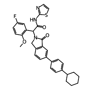 COc1ccc(F)cc1C(C(=O)Nc1nccs1)N1Cc2ccc(-c3ccc(C4CCCCC4)cc3)cc2C1=O